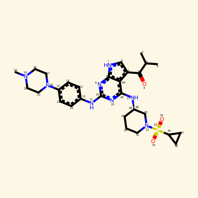 CC(C)C(=O)c1c[nH]c2nc(Nc3ccc(N4CCN(C)CC4)cc3)nc(N[C@@H]3CCCN(S(=O)(=O)C4CC4)C3)c12